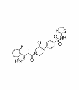 C[C@H](C(=O)N1CCN(c2ccc(S(=O)(=O)Nc3nccs3)cc2)C(=O)C1)c1c[nH]c2cccc(F)c12